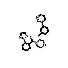 O=C(c1ccccc1-n1nccn1)N1CCOC[C@H]1Cc1cccc(-c2cccnn2)c1